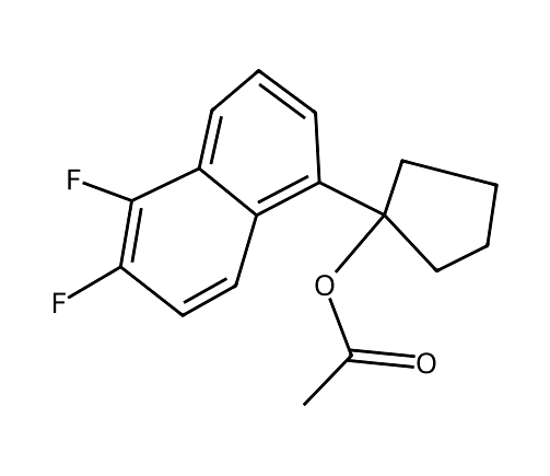 CC(=O)OC1(c2cccc3c(F)c(F)ccc23)CCCC1